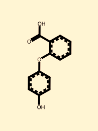 O=C(O)c1ccccc1Oc1ccc(O)cc1